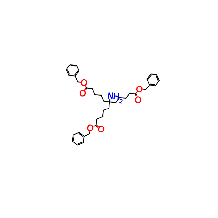 NC(CCCCC(=O)OCc1ccccc1)(CCCCC(=O)OCc1ccccc1)CCCCC(=O)OCc1ccccc1